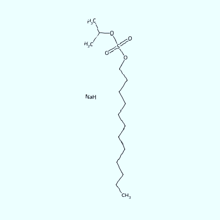 CCCCCCCCCCCCOS(=O)(=O)OC(C)C.[NaH]